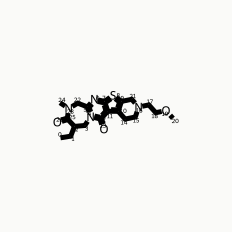 CCC1Cn2c(nc3sc4c(c3c2=O)CCN(CCOC)C4)CN(C)C1=O